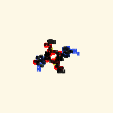 CC(C)(C)C(=O)OCSP1(=O)OCC2OC(n3cnc4c(N)ncnc43)[C@H](F)[C@@H]2OP(=O)(SCOC(=O)C(C)(C)C)OCC2OC(n3cnc4c(=O)[nH]cnc43)C[C@@H]2O1